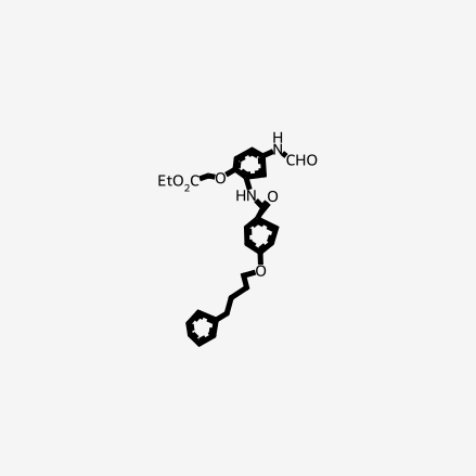 CCOC(=O)COc1ccc(NC=O)cc1NC(=O)c1ccc(OCCCCc2ccccc2)cc1